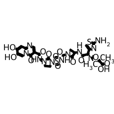 CC(C)(O/N=C(/C(=O)NC1CN(C(=O)NS(=O)(=O)N2CCN(NC(=O)c3cnc4cc(O)c(O)cn4c3=O)C2=O)C1=O)c1csc(N)n1)C(=O)O